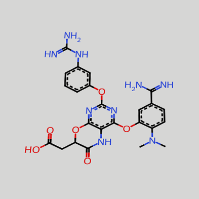 CN(C)c1ccc(C(=N)N)cc1Oc1nc(Oc2cccc(NC(=N)N)c2)nc2c1NC(=O)C(CC(=O)O)O2